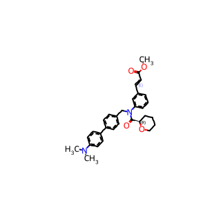 COC(=O)/C=C/c1cccc(N(Cc2ccc(-c3ccc(N(C)C)cc3)cc2)C(=O)[C@H]2CCCCO2)c1